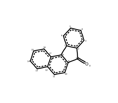 O=C1c2ccccc2-c2c1ccc1ccccc21